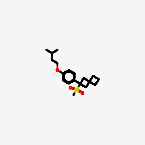 CC(C)CCOc1ccc(C2(S(C)(=O)=O)CC3(CCC3)C2)cc1